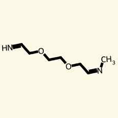 C/N=C\COCCOCC=N